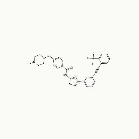 CN1CCN(Cc2ccc(C(=O)Nc3nc(-c4cccc(C#Cc5ccccc5C(F)(F)F)c4)cs3)cc2)CC1